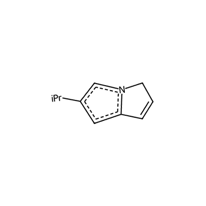 CC(C)c1cc2n(c1)CC=C2